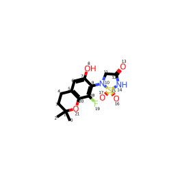 CC1(C)CCc2cc(O)c(N3CC(=O)NS3(=O)=O)c(F)c2O1